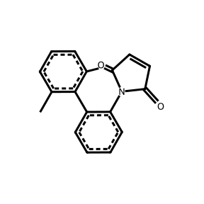 Cc1cccc(C)c1-c1ccccc1N1C(=O)C=CC1=O